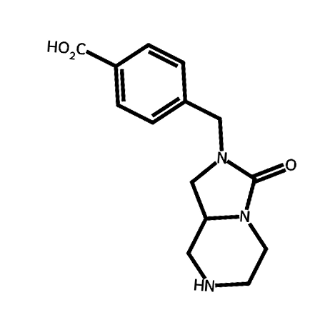 O=C(O)c1ccc(CN2CC3CNCCN3C2=O)cc1